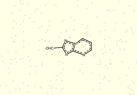 O=[C]c1nc2ncccn2n1